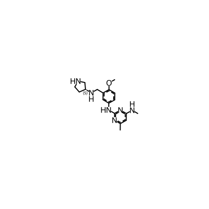 CNc1cc(C)nc(Nc2ccc(OC)c(CN[C@H]3CCNC3)c2)n1